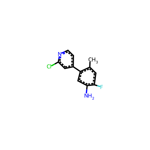 Cc1cc(F)c(N)cc1-c1ccnc(Cl)c1